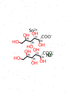 O=C([O-])[C@H](O)[C@@H](O)[C@H](O)[C@H](O)CO.O=C([O-])[C@H](O)[C@@H](O)[C@H](O)[C@H](O)CO.[Cl-].[Na+].[Sn+2]